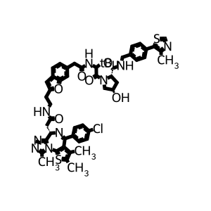 Cc1ncsc1-c1ccc(CNC(=O)[C@@H]2C[C@@H](O)CN2C(=O)C(NC(=O)Cc2ccc3cc(CCNC(=O)C[C@@H]4N=C(c5ccc(Cl)cc5)c5c(sc(C)c5C)-n5c(C)nnc54)oc3c2)C(C)(C)C)cc1